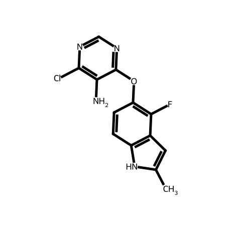 Cc1cc2c(F)c(Oc3ncnc(Cl)c3N)ccc2[nH]1